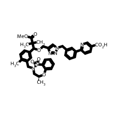 COC(=O)C(C)(C)C(OCc1cn(Cc2cccc(-c3ccc(C(=O)O)cn3)c2)nn1)c1ccc(C)c(CN2C[C@@H](C)Oc3ccccc3S2(=O)=O)c1